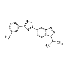 Cc1cccc(C2=NCC(c3ccc4c(c3)N=NC4C(C)C)=N2)c1